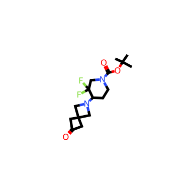 CC(C)(C)OC(=O)N1CCC(N2CC3(CC(=O)C3)C2)C(F)(F)C1